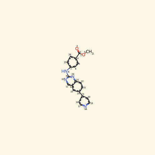 COC(=O)c1ccc(Nc2ncc3cc(-c4ccncc4)ccc3n2)cc1